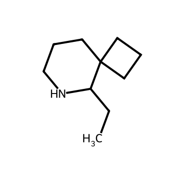 CCC1NCCCC12CCC2